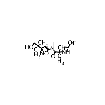 CC(C)(NCCOF)C(=O)Nc1cc(C(C)(C)CO)no1